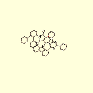 O=C1c2cccc(-n3c4ccccc4c4cccc(-c5nc(-c6ccccc6)nc(-c6ccccc6)n5)c43)c2C(=O)N1c1cccc(-c2ccccc2)c1-c1ccccc1